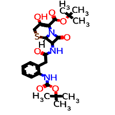 CC(C)(C)OC(=O)Nc1ccccc1CC(=O)NC1C(=O)N2C(C(=O)OC(C)(C)C)=C(O)CS[C@H]12